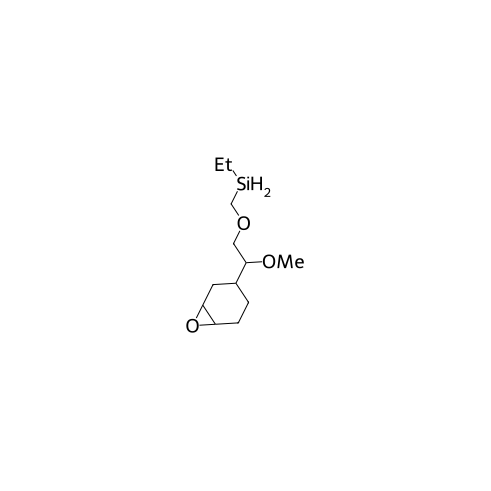 CC[SiH2]COCC(OC)C1CCC2OC2C1